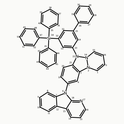 C1=CN2c3cc(-n4c5ccccc5c5cccnc54)ccc3N(c3cc(-c4ccccc4)cc([Si](c4ccccc4)(c4ccccc4)c4ccccc4)c3)N2C=C1